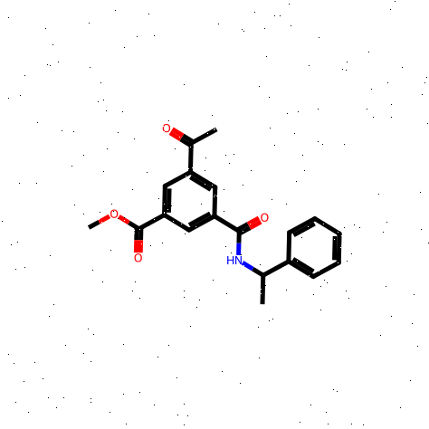 COC(=O)c1cc(C(C)=O)cc(C(=O)NC(C)c2ccccc2)c1